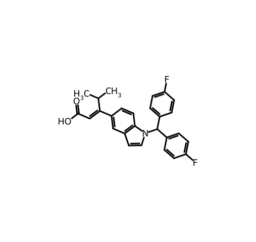 CC(C)C(=CC(=O)O)c1ccc2c(ccn2C(c2ccc(F)cc2)c2ccc(F)cc2)c1